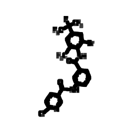 O=C(Nc1cccc(C(=O)Nc2c(Br)cc(C(F)(C(F)(F)F)C(F)(F)F)cc2C(F)(F)F)c1)c1ccc(Cl)nc1